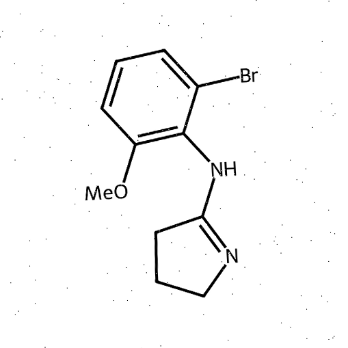 COc1cccc(Br)c1NC1=NCCC1